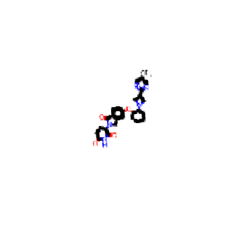 O=C1CC[C@@H](N2Cc3cc(O[C@@H]4CCCC[C@@H]4N4CC(c5ncc(C(F)(F)F)cn5)C4)ccc3C2=O)C(=O)N1